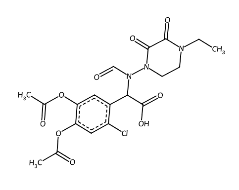 CCN1CCN(N(C=O)C(C(=O)O)c2cc(OC(C)=O)c(OC(C)=O)cc2Cl)C(=O)C1=O